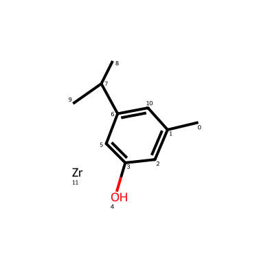 Cc1cc(O)cc(C(C)C)c1.[Zr]